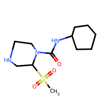 CS(=O)(=O)C1CNCCN1C(=O)NC1CCCCC1